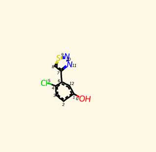 Oc1ccc(Cl)c(-c2csnn2)c1